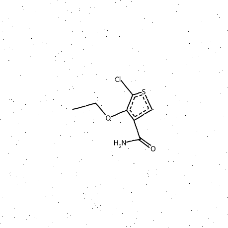 CCOc1c(C(N)=O)csc1Cl